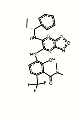 CC[C@@H](Nc1nc2nonc2nc1Nc1ccc(C(F)(F)F)c(C(=O)N(C)C)c1O)c1ccccc1